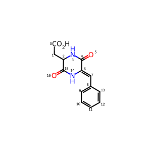 O=C(O)CC1NC(=O)/C(=C/c2ccccc2)NC1=O